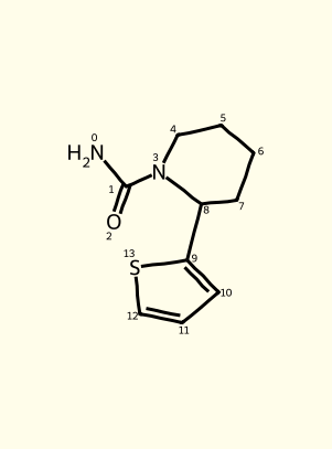 NC(=O)N1CCCCC1c1cccs1